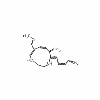 C=C/C=C\C=C1/NCCN/C=C(COC)\C=C/C1=C